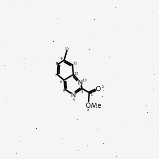 COC(=O)c1ncc2ccc(C)cc2n1